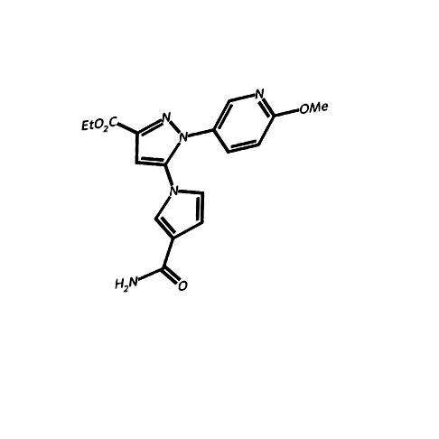 CCOC(=O)c1cc(-n2ccc(C(N)=O)c2)n(-c2ccc(OC)nc2)n1